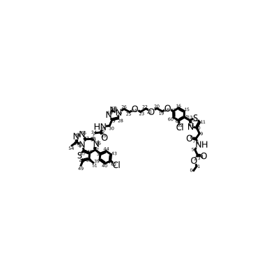 CCOC(=O)CNC(=O)Cc1csc(-c2ccc(OCCOCCOCCn3cc(CNC(=O)C[C@@H]4N=C(c5ccc(Cl)cc5)c5c(sc(C)c5C)-n5c(C)nnc54)nn3)cc2Cl)n1